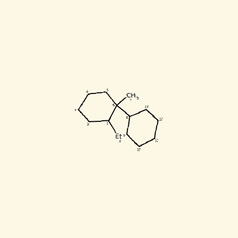 CCC1CCCCC1(C)C1CCCCC1